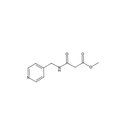 COC(=O)CC(=O)NCc1ccncc1